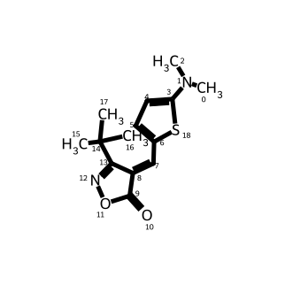 CN(C)c1ccc(C=C2C(=O)ON=C2C(C)(C)C)s1